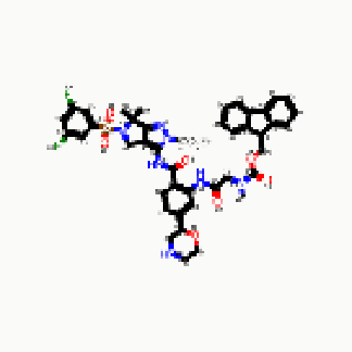 CCOC(=O)n1nc2c(c1NC(=O)c1ccc(C3CNCCO3)cc1NC(=O)CN(C)C(=O)OCC1c3ccccc3-c3ccccc31)CN(S(=O)(=O)c1cc(F)cc(F)c1)C2(C)C